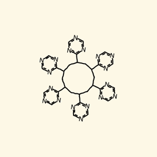 c1ncnc(C2CC(c3ncncn3)CC(c3ncncn3)CC(c3ncncn3)CC(c3ncncn3)CC(c3ncncn3)C2)n1